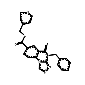 O=C(OCc1ccncc1)c1ccc2c(c1)c(=O)n(Cc1ccccc1)c1nncn21